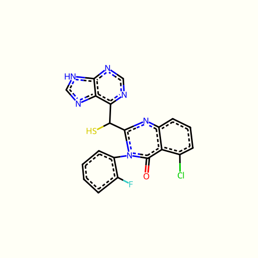 O=c1c2c(Cl)cccc2nc(C(S)c2ncnc3[nH]cnc23)n1-c1ccccc1F